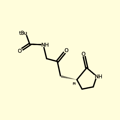 CC(C)(C)C(=O)NCC(=O)C[C@H]1CCNC1=O